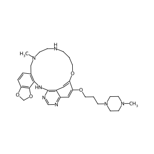 CN1CCN(CCCOc2cc3ncnc4c3cc2OCCCNCCN(C)Cc2ccc3c(c2N4)OCO3)CC1